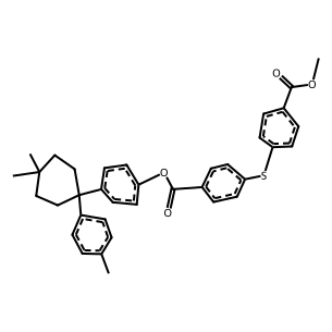 COC(=O)c1ccc(Sc2ccc(C(=O)Oc3ccc(C4(c5ccc(C)cc5)CCC(C)(C)CC4)cc3)cc2)cc1